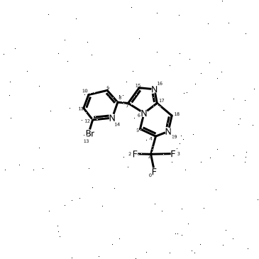 FC(F)(F)c1cn2c(-c3cccc(Br)n3)cnc2cn1